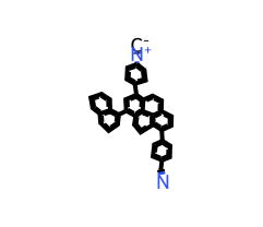 [C-]#[N+]c1ccc(-c2cc(-c3cccc4ccccc34)c3ccc4c(-c5ccc(C#N)cc5)ccc5ccc2c3c54)cc1